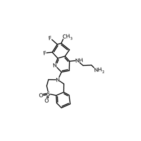 Cc1cc2c(NCCN)cc(N3CCS(=O)(=O)c4ccccc4C3)nc2c(F)c1F